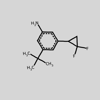 CC(C)(C)c1cc(N)cc(C2CC2(F)F)c1